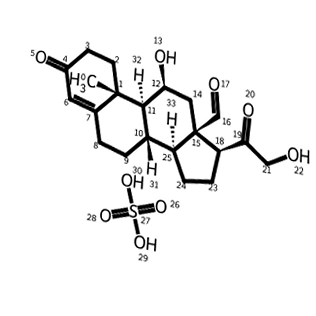 C[C@]12CCC(=O)C=C1CC[C@@H]1[C@@H]2[C@@H](O)C[C@]2(C=O)[C@@H](C(=O)CO)CC[C@@H]12.O=S(=O)(O)O